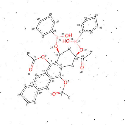 CC(=O)Oc1c2c(c(OC(C)=O)c3cc4ccccc4cc13)[C@@H](OB(O)c1ccccc1)C[C@](OB(O)c1ccccc1)(C(C)=O)C2